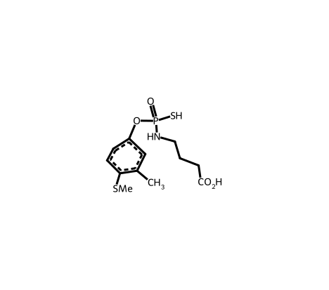 CSc1ccc(OP(=O)(S)NCCCC(=O)O)cc1C